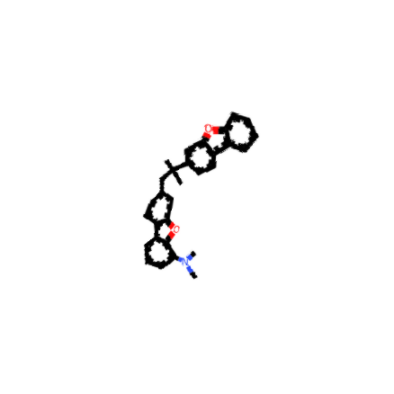 CN(C)c1cccc2c1oc1cc(CC(C)(C)c3ccc4c(c3)oc3ccccc34)ccc12